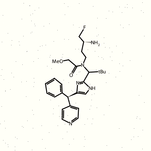 COCC(=O)N(CC[C@@H](N)CF)C(c1nc([C@H](c2ccccc2)c2ccncc2)c[nH]1)C(C)(C)C